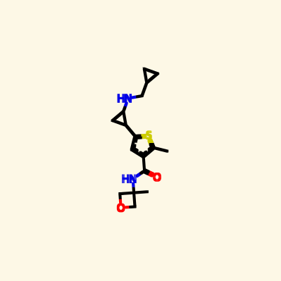 Cc1sc(C2CC2NCC2CC2)cc1C(=O)NC1(C)COC1